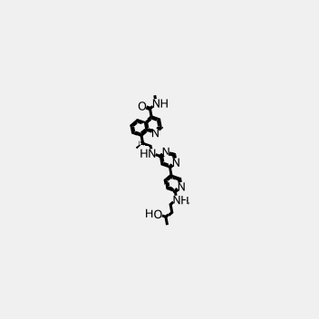 CNC(=O)c1ccnc2c([C@H](C)CNc3cc(-c4ccc(NCCC(C)O)nc4)ncn3)cccc12